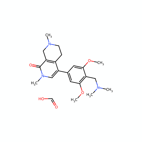 COc1cc(-c2cn(C)c(=O)c3c2CCN(C)C3)cc(OC)c1CN(C)C.O=CO